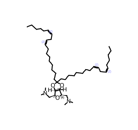 CCCCC/C=C\C/C=C\CCCCCCCCC1(CCCCCCCC/C=C\C/C=C\CCCCC)O[C@H]2[C@H](O1)[C@@H](CN(C)C)O[C@H]2CN(C)C